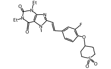 CCn1c(=O)c2c(nc(/C=C/c3ccc(OC4CCS(=O)(=O)CC4)c(F)c3)n2C)n(CC)c1=O